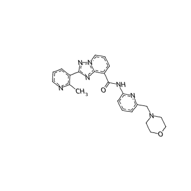 Cc1ncccc1-c1nc2c(C(=O)Nc3cccc(CN4CCOCC4)n3)cccn2n1